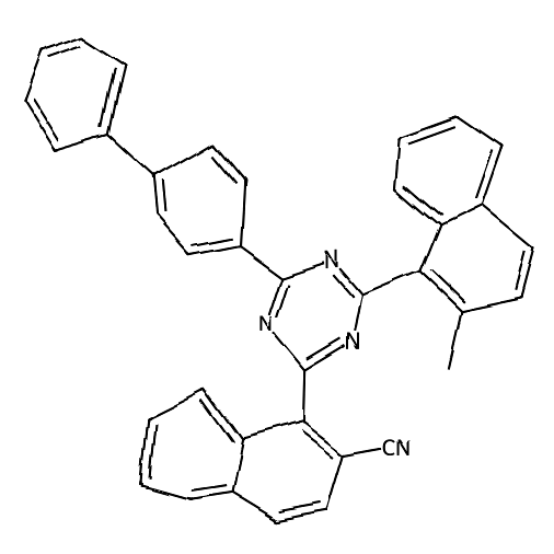 Cc1ccc2ccccc2c1-c1nc(-c2ccc(-c3ccccc3)cc2)nc(-c2c(C#N)ccc3ccccc23)n1